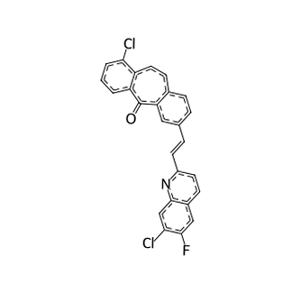 O=c1c2cc(C=Cc3ccc4cc(F)c(Cl)cc4n3)ccc2ccc2c(Cl)cccc12